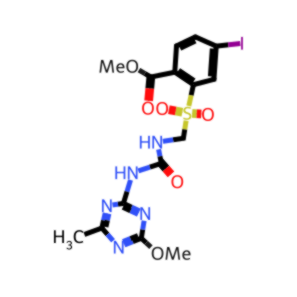 COC(=O)c1ccc(I)cc1S(=O)(=O)CNC(=O)Nc1nc(C)nc(OC)n1